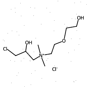 C[N+](C)(CCOCCO)CC(O)CCl.[Cl-]